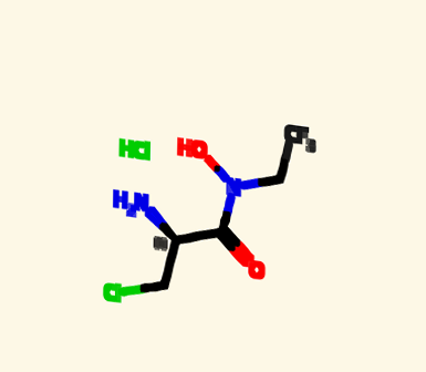 Cl.N[C@H](CCl)C(=O)N(O)CC(F)(F)F